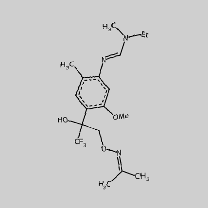 CCN(C)/C=N/c1cc(OC)c(C(O)(CON=C(C)C)C(F)(F)F)cc1C